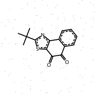 CC(C)(C)c1nc2c(s1)C(=O)C(=O)c1ccccc1-2